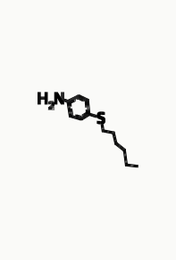 CCCCCCSc1ccc(N)cc1